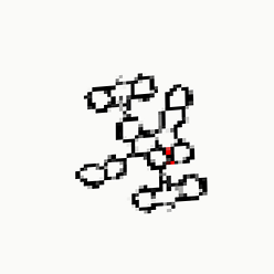 C1=CC2C=C(c3ccccc3)C(c3c4cc(N5c6ccccc6Sc6ccccc65)ccc4c(-c4ccc5c(c4)CCC=C5)c4cc(N5c6ccccc6Sc6ccccc65)ccc34)=CC2C=C1